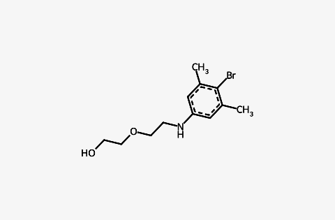 Cc1cc(NCCOCCO)cc(C)c1Br